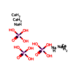 O=P(O)(O)O.O=P(O)(O)O.O=P(O)(O)O.[CaH2].[CaH2].[CaH2].[NaH].[NaH].[NaH]